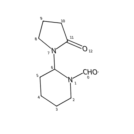 O=[C]N1CCCCC1N1CCCC1=O